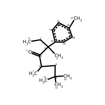 CCC(C)(C(=O)C(C)CC(C)(C)C)c1ccc(C)cc1